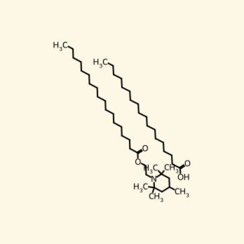 CCCCCCCCCCCCCCCCCC(=O)O.CCCCCCCCCCCCCCCCCC(=O)OCCN1C(C)(C)CC(C)CC1(C)C